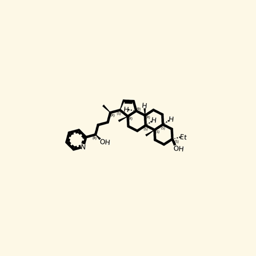 CC[C@]1(O)CC[C@@]2(C)[C@@H](CC[C@H]3[C@@H]4C=C[C@H]([C@H](C)CC[C@@H](O)c5ccccn5)[C@@]4(C)CC[C@@H]32)C1